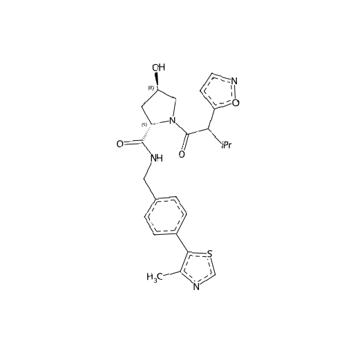 Cc1ncsc1-c1ccc(CNC(=O)[C@@H]2C[C@@H](O)CN2C(=O)C(c2ccno2)C(C)C)cc1